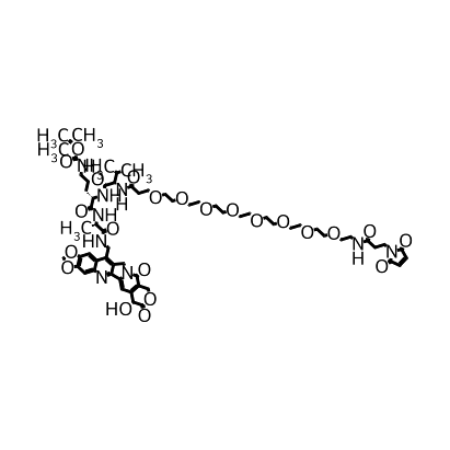 CC(C)[C@H](NC(=O)CCOCCOCCOCCOCCOCCOCCOCCOCCNC(=O)CCN1C(=O)C=CC1=O)C(=O)N[C@@H](CCCNC(=O)OC(C)(C)C)C(=O)N[C@H](C)C(=O)NCc1c2c(nc3cc4c(cc13)OCO4)-c1cc3c(c(=O)n1C2)COC(=O)C3O